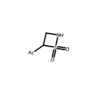 CC(=O)C1CNS1(=O)=O